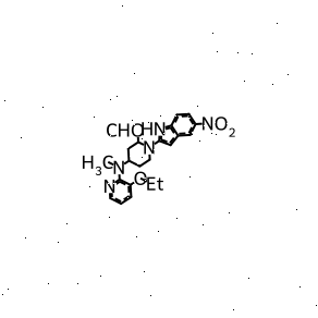 CCOc1cccnc1N(C)C1CCN(c2cc3cc([N+](=O)[O-])ccc3[nH]2)C(C=O)C1